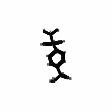 CN(C)S(=O)(=O)c1ccc(C(=O)O)nc1